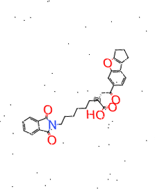 O=C(C[C@@H](CCCCCCN1C(=O)c2ccccc2C1=O)C(=O)O)c1ccc2c3c(oc2c1)CCC3